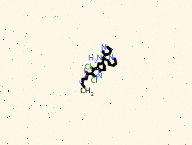 C=C/C=C\C=C(/I)c1c(Cl)nc2ccc(C(N)(c3cccnc3)c3ccccn3)cc2c1Cl